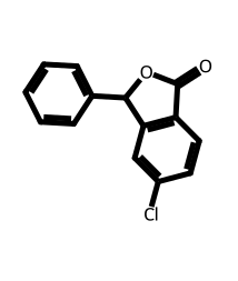 O=C1OC(c2ccccc2)c2cc(Cl)ccc21